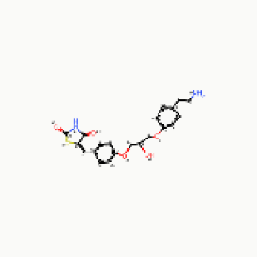 NCCc1ccc(OCC(O)COc2ccc(C=C3SC(=O)NC3=O)cc2)cc1